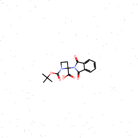 CC(C)(C)OC(=O)N1CCC1(C(=O)O)N1C(=O)c2ccccc2C1=O